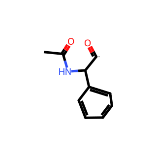 CC(=O)NC([C]=O)c1ccccc1